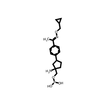 C/C(=N\OCC1CC1)c1ccc(C2CCC(N)(COP(O)O)C2)cc1